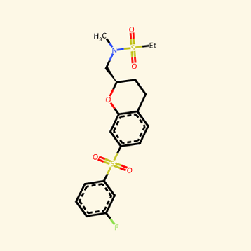 CCS(=O)(=O)N(C)C[C@H]1CCc2ccc(S(=O)(=O)c3cccc(F)c3)cc2O1